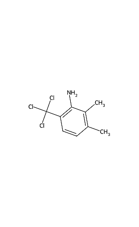 Cc1ccc(C(Cl)(Cl)Cl)c(N)c1C